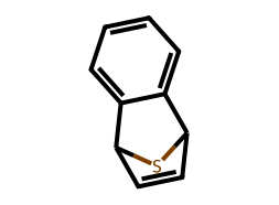 C1=CC2SC1c1ccccc12